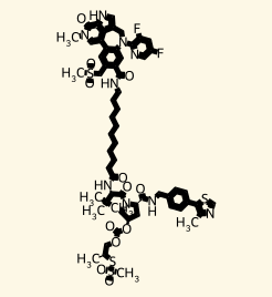 Cc1ncsc1-c1ccc(CNC(=O)[C@@H]2C[C@@H](OC(=O)OC[C@@H](C)SS(C)(=O)=O)CN2C(=O)[C@@H](NC(=O)CCCCCCCCCCNC(=O)c2cc3c(cc2CS(C)(=O)=O)-c2cn(C)c(=O)c4[nH]cc(c24)CN3c2ncc(F)cc2F)C(C)(C)C)cc1